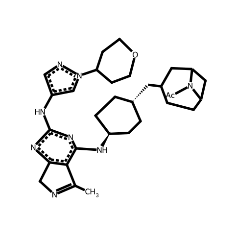 CC(=O)N1C2CCC(C[C@H]3CC[C@H](Nc4nc(Nc5cnn(C6CCOCC6)c5)nc5c4C(C)=NC5)CC3)CC1C2